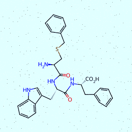 N[C@@H](CSCc1ccccc1)C(=O)N[C@@H](Cc1c[nH]c2ccccc12)C(=O)N[C@@H](Cc1ccccc1)C(=O)O